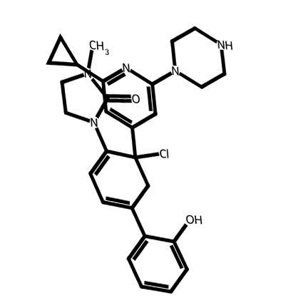 CN1CCN(C2=CC=C(c3ccccc3O)CC2(Cl)c2cc(C3CC3)nc(N3CCNCC3)c2)C1=O